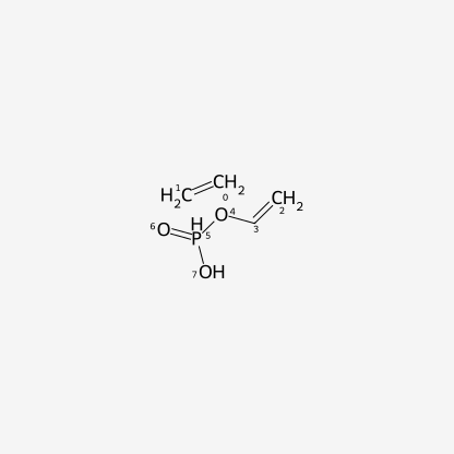 C=C.C=CO[PH](=O)O